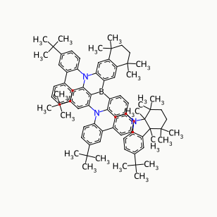 CC(C)(C)c1ccc(N2c3cc(N4c5ccc(C(C)(C)C)cc5C5(C)C(C)(C)CCC(C)(C)C45C)ccc3B3c4cc5c(cc4N(c4ccc(C(C)(C)C)cc4-c4ccccc4)c4cc(C(C)(C)C)cc2c43)C(C)(C)CCC5(C)C)c(-c2ccccc2)c1